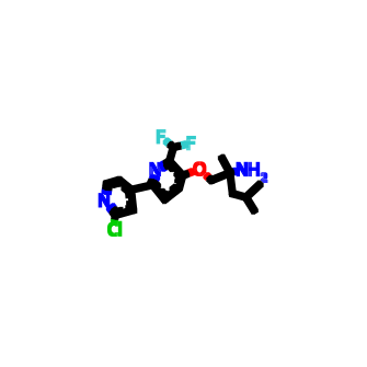 CC(C)CC(C)(N)COc1ccc(-c2ccnc(Cl)c2)nc1C(F)F